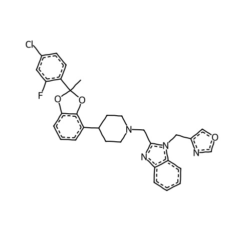 CC1(c2ccc(Cl)cc2F)Oc2cccc(C3CCN(Cc4nc5ccccc5n4Cc4cocn4)CC3)c2O1